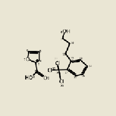 O=C(O)c1ccco1.OCCCc1ccccc1C(Cl)(Cl)Cl